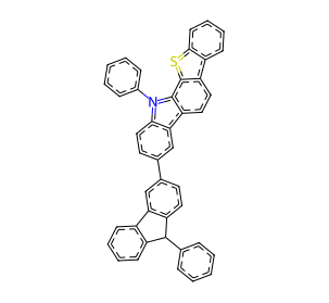 c1ccc(C2c3ccccc3-c3cc(-c4ccc5c(c4)c4ccc6c7ccccc7sc6c4n5-c4ccccc4)ccc32)cc1